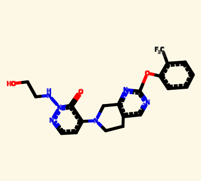 O=c1c(N2CCc3cnc(Oc4ccccc4C(F)(F)F)nc3C2)ccnn1NCCO